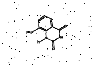 CC(C)n1c(=O)[nH]c(=O)c2cccc(S(=O)(=O)O)c21